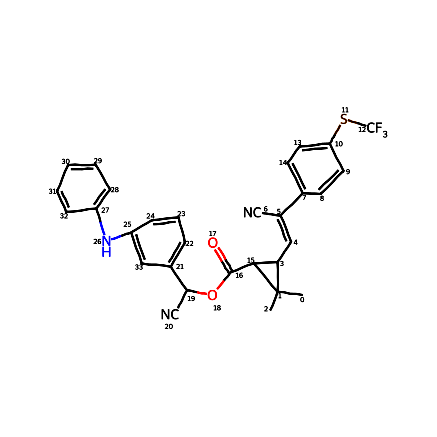 CC1(C)C(C=C(C#N)c2ccc(SC(F)(F)F)cc2)C1C(=O)OC(C#N)c1cccc(Nc2ccccc2)c1